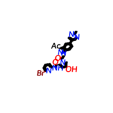 CC(=O)c1nn(CC(=O)N2C[C@@H](O)C[C@H]2C(=O)Nc2cccc(Br)n2)c2ccc(-c3cnc(C)nc3)cc12